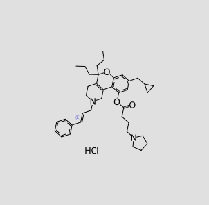 CCCC1(CCC)Oc2cc(CC3CC3)cc(OC(=O)CCCN3CCCC3)c2C2=C1CCN(C/C=C/c1ccccc1)C2.Cl